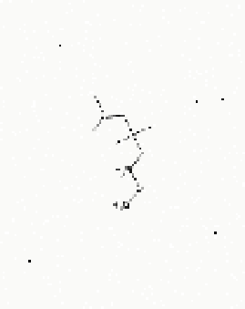 CC(C)=CC(C)(C)C[SiH2]O[SiH3]